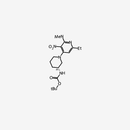 CCc1cc(N2CCC[C@@H](NC(=O)OC(C)(C)C)C2)c([N+](=O)[O-])c(NC)n1